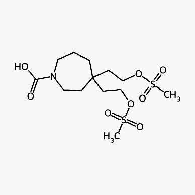 CS(=O)(=O)OCCC1(CCOS(C)(=O)=O)CCCN(C(=O)O)CC1